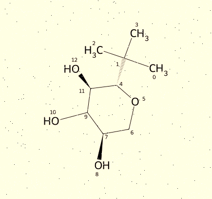 CC(C)(C)[C@@H]1OC[C@@H](O)C(O)[C@H]1O